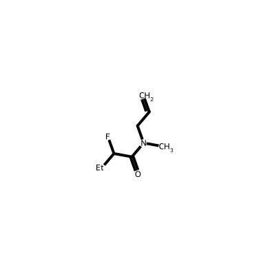 C=CCN(C)C(=O)C(F)CC